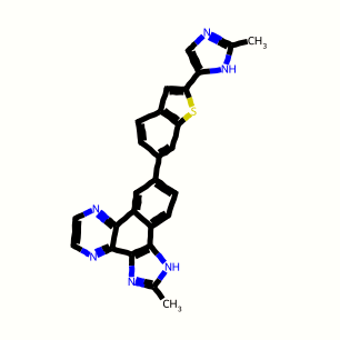 Cc1ncc(-c2cc3ccc(-c4ccc5c(c4)c4nccnc4c4nc(C)[nH]c54)cc3s2)[nH]1